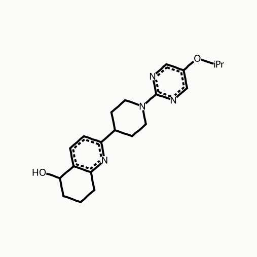 CC(C)Oc1cnc(N2CCC(c3ccc4c(n3)CCCC4O)CC2)nc1